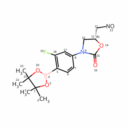 CC1(C)OB(c2ccc(N3C[C@H](CN=O)OC3=O)cc2F)OC1(C)C